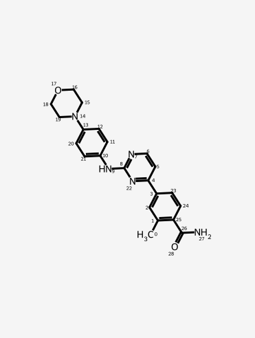 Cc1cc(-c2ccnc(Nc3ccc(N4CCOCC4)cc3)n2)ccc1C(N)=O